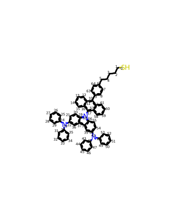 SCCCCCc1ccc(-c2c3ccccc3c(-n3c4ccc(N(c5ccccc5)c5ccccc5)cc4c4cc(N(c5ccccc5)c5ccccc5)ccc43)c3ccccc23)cc1